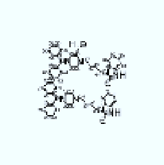 O.O=c1[nH]c2ccccc2n1CCCCN1CCN(C(c2ccccc2)c2ccccc2)CC1.O=c1[nH]c2ccccc2n1CCCCN1CCN(C(c2ccccc2)c2ccccc2)CC1